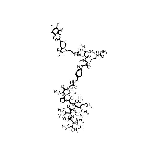 CC[C@H](C)[C@@H]([C@@H](CC(=O)N1CCC[C@H]1[C@H](OC)[C@@H](C)C(=O)NCC(=O)NCc1ccc(NC(=O)[C@H](CCCNC(N)=O)NC(=O)[C@@H](NC(=O)CCCN2CCC(C(=O)Oc3c(F)c(F)c(F)c(F)c3F)CC2C(F)(F)F)C(C)C)cc1)OC)N(C)C(=O)[C@@H](NC(=O)[C@H](C(C)C)N(C)C)C(C)C